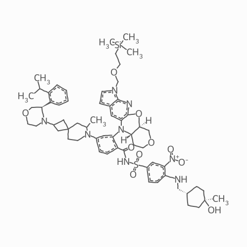 CC(C)c1ccccc1[C@@H]1COCCN1C1CC2(CCN(c3ccc(C(=O)NS(=O)(=O)c4ccc(NC[C@H]5CC[C@](C)(O)CC5)c([N+](=O)[O-])c4)c(N4c5cc6ccn(COCC[Si](C)(C)C)c6nc5O[C@H]5COCC[C@@H]54)c3)C(C)C2)C1